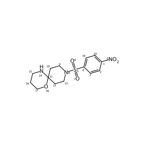 O=[N+]([O-])c1ccc(S(=O)(=O)N2CCC3(CC2)NCCCO3)cc1